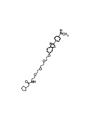 CNc1ccc(-c2nc3ccc(OCCOCCOCCOCCNC(=O)CC4CCCC4)cc3s2)cc1